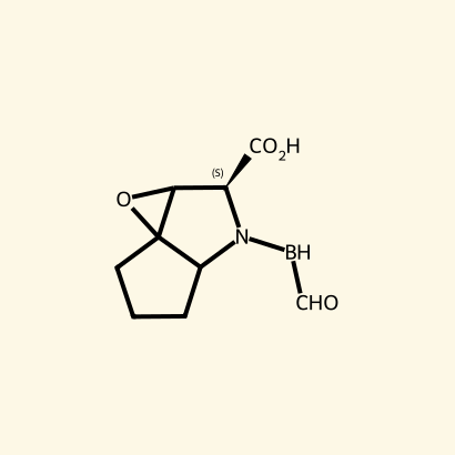 O=CBN1C2CCCC23OC3[C@H]1C(=O)O